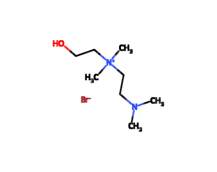 CN(C)CC[N+](C)(C)CCO.[Br-]